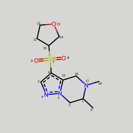 CC1Cn2ncc(S(=O)(=O)C3CCOC3)c2CN1C